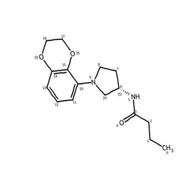 CCCC(=O)N[C@H]1CCN(c2cccc3c2OCCO3)C1